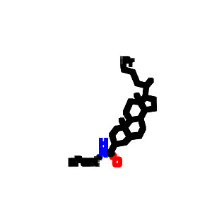 CCCCCNC(=O)C1CCC2(C)C(=CCC3C2CCC2(C)C(C(C)CCCC(C)C)CCC32)C1